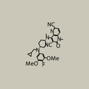 COc1cc(N(CC2CC2)[C@H]2CC[C@@H](N(C)c3c(C#N)c(=O)n(C)c4ccc(C#N)nc34)CC2)cc(OC)c1F